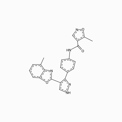 Cc1oncc1C(=O)Nc1ccc(-c2n[nH]cc2-c2nc3c(C)cccc3o2)cc1